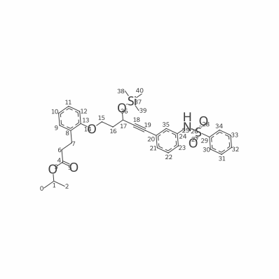 CC(C)OC(=O)CCc1ccccc1OCCC(C#Cc1cccc(NS(=O)(=O)c2ccccc2)c1)O[Si](C)(C)C